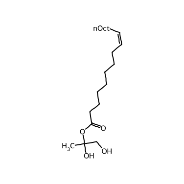 CCCCCCCC/C=C\CCCCCCCC(=O)OC(C)(O)CO